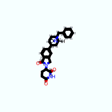 O=C1CCC(N2Cc3cc(C4C[C@H]5CCC4CN5Cc4ccccc4)ccc3C2=O)C(=O)N1